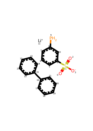 O=S(=O)([O-])c1cccc(P)c1.[Li+].c1ccc(-c2ccccc2)cc1